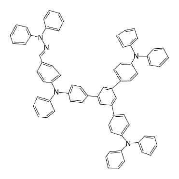 C(=NN(c1ccccc1)c1ccccc1)c1ccc(N(c2ccccc2)c2ccc(-c3cc(-c4ccc(N(c5ccccc5)c5ccccc5)cc4)cc(-c4ccc(N(c5ccccc5)c5ccccc5)cc4)c3)cc2)cc1